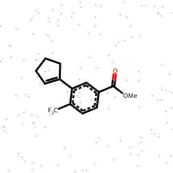 COC(=O)c1ccc(C(F)(F)F)c(C2=CCCC2)c1